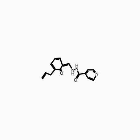 C=CCC1=CC=CC(=CNNC(=O)c2ccncc2)C1=O